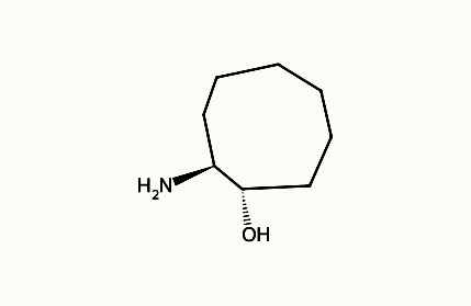 N[C@H]1CCCCCC[C@@H]1O